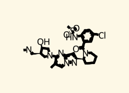 CN=C[C@@H]1CN(c2nc3cc([C@@H]4CCCCN4C(=O)c4cc(Cl)ccc4NS(C)(=O)=O)nn3cc2C)C[C@@H]1O